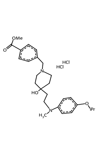 COC(=O)c1ccc(CN2CCC(O)(CCN(C)c3ccc(OC(C)C)cc3)CC2)cc1.Cl.Cl